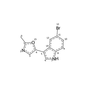 Cc1ncc(-c2c[nH]c3ccc(Br)cc23)o1